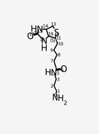 NCCCNC(=O)CCCC[C@@H]1SCC2NC(=O)NC21